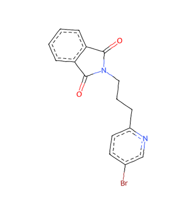 O=C1c2ccccc2C(=O)N1CCCc1ccc(Br)cn1